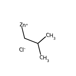 CC(C)[CH2][Zn+].[Cl-]